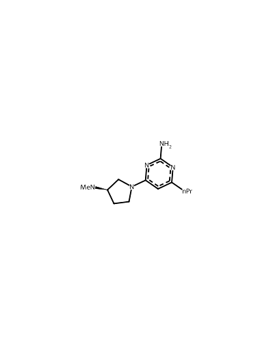 CCCc1cc(N2CC[C@@H](NC)C2)nc(N)n1